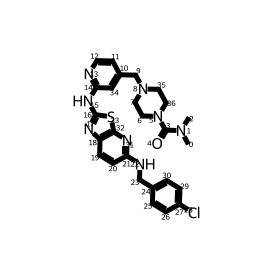 CN(C)C(=O)N1CCN(Cc2ccnc(Nc3nc4ccc(NCc5ccc(Cl)cc5)nc4s3)c2)CC1